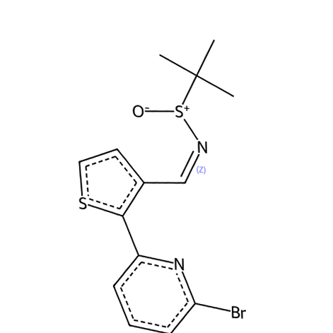 CC(C)(C)[S+]([O-])/N=C\c1ccsc1-c1cccc(Br)n1